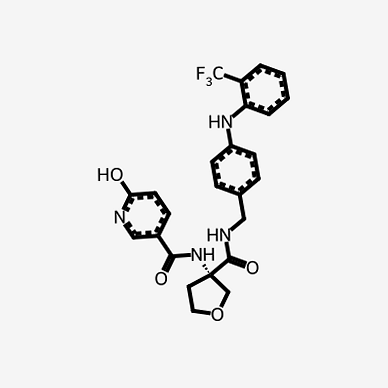 O=C(N[C@@]1(C(=O)NCc2ccc(Nc3ccccc3C(F)(F)F)cc2)CCOC1)c1ccc(O)nc1